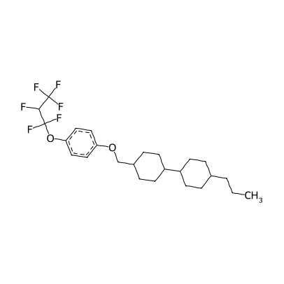 CCCC1CCC(C2CCC(COc3ccc(OC(F)(F)C(F)C(F)(F)F)cc3)CC2)CC1